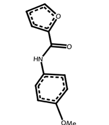 COc1ccc(NC(=O)c2ccco2)cc1